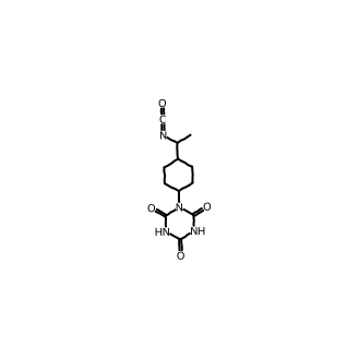 CC(N=C=O)C1CCC(n2c(=O)[nH]c(=O)[nH]c2=O)CC1